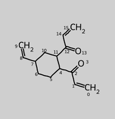 C=CC(=O)C1CCC(C=C)CC1C(=O)C=C